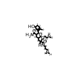 CC1C2CC(O)C(C2)C1CC(CC(CC(C)(C)C(=O)NCCCN(C)C)C(=O)OCCN(C)C)C(N)=O